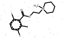 C[N+]1(CCOC(=O)c2c(I)ccc(I)c2I)CCCCC1